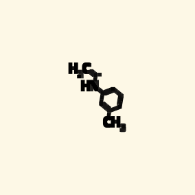 C=[C]Nc1cccc(C)c1